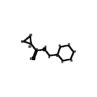 O=C(OCC1CCCCC1)C1CC1